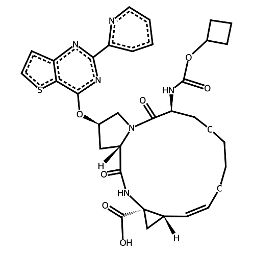 O=C(N[C@H]1CCCCCC=C[C@@H]2C[C@@]2(C(=O)O)NC(=O)[C@@H]2C[C@@H](Oc3nc(-c4ccccn4)nc4ccsc34)CN2C1=O)OC1CCC1